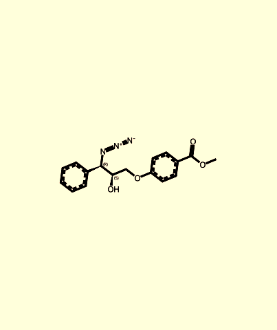 COC(=O)c1ccc(OC[C@@H](O)[C@H](N=[N+]=[N-])c2ccccc2)cc1